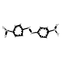 O=[N+]([O-])c1ccc(N=Nc2ccc([N+](=O)[O-])cc2)cc1